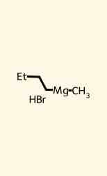 Br.CCC[CH2][Mg][CH3]